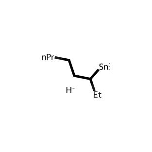 CCCCC[CH]([Sn])CC.[H-]